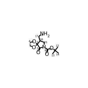 COC1(OC)C(=O)N(C(=O)OC(C)(C)C)CC1CN